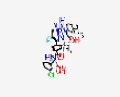 Cc1cc(C(=O)N[C@H](CO)c2cccc(Cl)c2)ccc1-c1nc(N[C@@H](C)CO)ncc1F